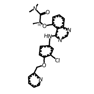 C[C@H](Oc1cccc2ncnc(Nc3ccc(OCc4ccccn4)c(Cl)c3)c12)C(=O)N(C)C